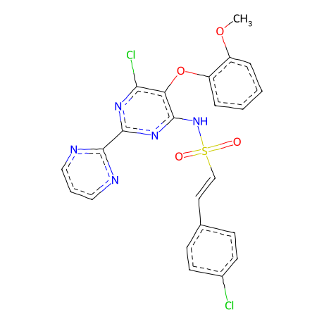 COc1ccccc1Oc1c(Cl)nc(-c2ncccn2)nc1NS(=O)(=O)C=Cc1ccc(Cl)cc1